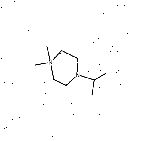 CC(C)N1CC[N+](C)(C)CC1